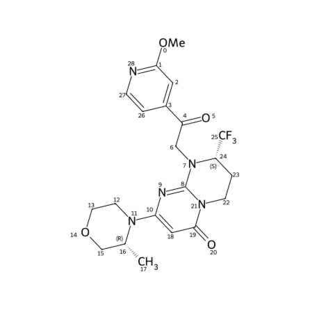 COc1cc(C(=O)CN2c3nc(N4CCOC[C@H]4C)cc(=O)n3CC[C@H]2C(F)(F)F)ccn1